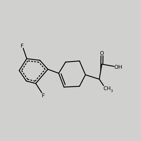 CC(C(=O)O)C1CC=C(c2cc(F)ccc2F)CC1